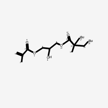 C=C(C)C(=O)OCC(O)COC(=O)C(C)(CC(C)CC)C(C)CC